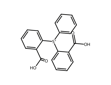 O=C(O)c1ccccc1[S+](c1ccccc1)c1ccccc1C(=O)O